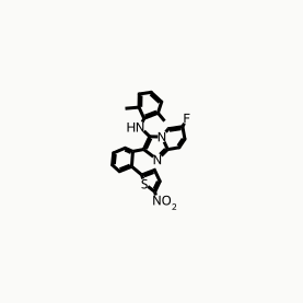 Cc1cccc(C)c1Nc1c(-c2ccccc2-c2ccc([N+](=O)[O-])s2)nc2ccc(F)cn12